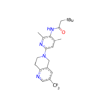 Cc1cc(N2CCc3ncc(C(F)(F)F)cc3C2)nc(C)c1NC(=O)CC(C)(C)C